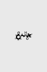 CC(C)(C)C(=O)NCCN1CCCCC1=O